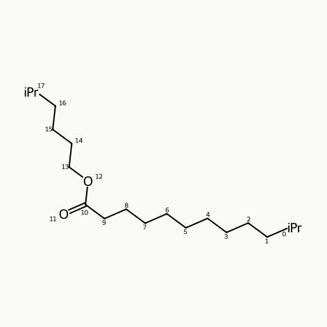 CC(C)CCCCCCCCCC(=O)OCCCCC(C)C